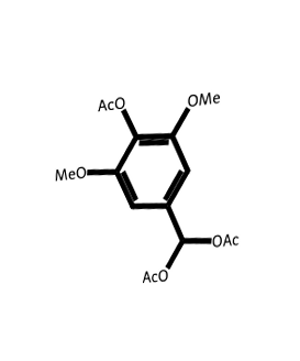 COc1cc(C(OC(C)=O)OC(C)=O)cc(OC)c1OC(C)=O